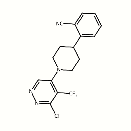 N#Cc1ccccc1C1CCN(c2cnnc(Cl)c2C(F)(F)F)CC1